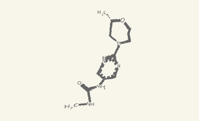 CNC(=O)Nc1cnc(N2CCO[C@@H](C)C2)nc1